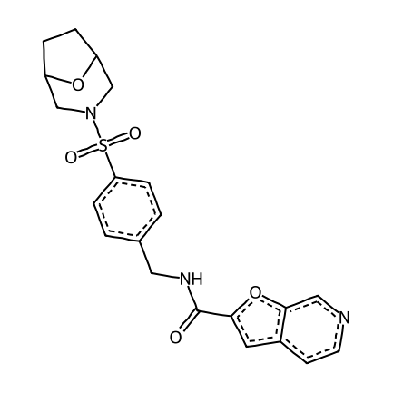 O=C(NCc1ccc(S(=O)(=O)N2CC3CCC(C2)O3)cc1)c1cc2ccncc2o1